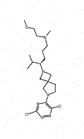 COCCN(C)CCC[C@H](C(C)C)N1CC2(CCN(c3nc(Cl)nnc3Cl)C2)C1